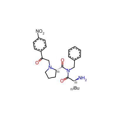 CC[C@H](C)[C@H](N)C(=O)N(Cc1ccccc1)C(=O)[C@@H]1CCCN1CC(=O)c1ccc([N+](=O)[O-])cc1